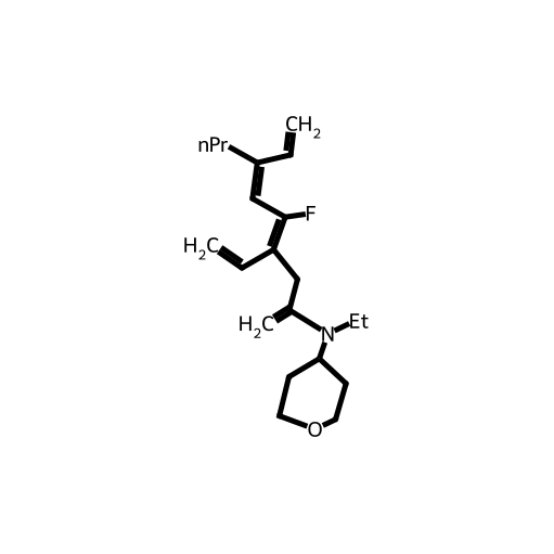 C=C/C(=C\C(F)=C(/C=C)CC(=C)N(CC)C1CCOCC1)CCC